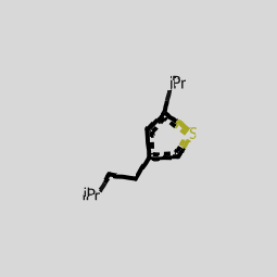 CC(C)CCc1csc(C(C)C)c1